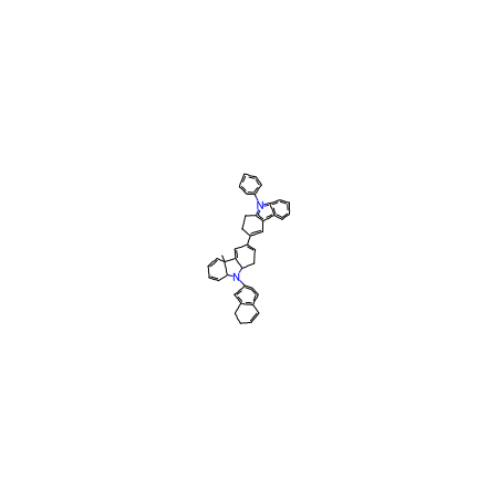 CC12C=CC=CC1N(c1ccc3c(c1)CCC=C3)C1CC=C(C3=Cc4c(n(-c5ccccc5)c5ccccc45)CC3)C=C12